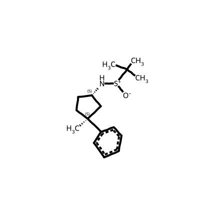 CC(C)(C)[S+]([O-])N[C@H]1CC[C@](C)(c2ccccc2)C1